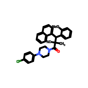 COc1ccccc1C(c1cccc2ccccc12)C(C)(C#N)C(=O)N1CCN(c2ccc(Cl)cc2)CC1